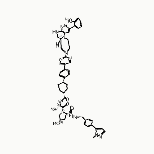 Cn1nccc1-c1ccc(CNC(=O)[C@@H]2C[C@@H](O)CN2C(=O)[C@@H](NC(=O)[C@H]2CC[C@H](c3ccc(-c4cnc(N5CCN6c7cc(-c8ccccc8O)nnc7NC[C@H]6C5)nc4)cc3)CC2)C(C)(C)C)cc1